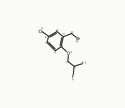 FC(F)COc1ccc(Cl)cc1CBr